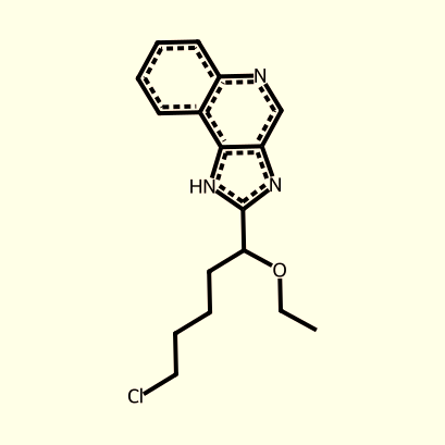 CCOC(CCCCCl)c1nc2cnc3ccccc3c2[nH]1